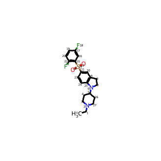 CCN1CCC(N2CCc3cc(S(=O)(=O)c4cc(F)ccc4F)ccc32)CC1